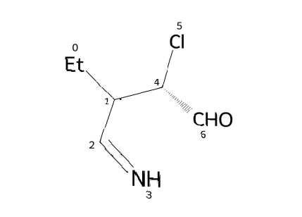 CC[C](C=N)[C@H](Cl)C=O